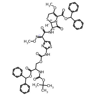 CO/N=C(/C(=O)N[C@@H]1C(=O)N2C(C(=O)OC(c3ccccc3)c3ccccc3)=C(OC)CS[C@H]12)c1csc(NC(=O)OCC(NC(=O)OC(C)(C)C)C(=O)OC(c2ccccc2)c2ccccc2)n1